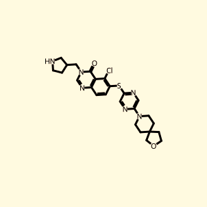 O=c1c2c(Cl)c(Sc3cnc(N4CCC5(CCOC5)CC4)cn3)ccc2ncn1CC1CCNC1